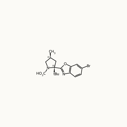 C[C@@H]1CN(C(=O)O)[C@](c2nc3ccc(Br)cc3o2)(C(C)(C)C)C1